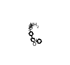 NOOSc1ccc(-c2ccc(=O)n(-c3ccccc3)c2)cc1